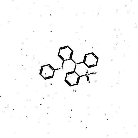 O=S(=O)(O)c1ccccc1P(c1ccccc1)c1ccccc1Oc1ccccc1.[Pd]